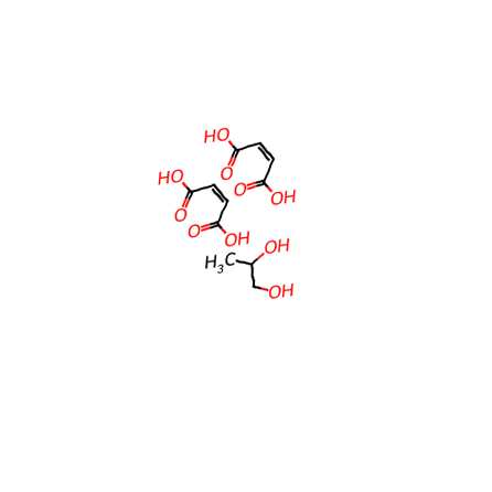 CC(O)CO.O=C(O)/C=C\C(=O)O.O=C(O)/C=C\C(=O)O